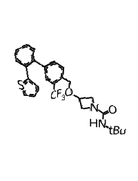 CC(C)(C)NC(=O)N1CC(OCc2ccc(-c3ccccc3-c3cccs3)cc2C(F)(F)F)C1